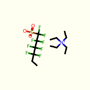 CCC(F)(F)C(F)(F)C(F)(F)C(F)(F)S(=O)(=O)[O-].CC[N+](CC)(CC)CC